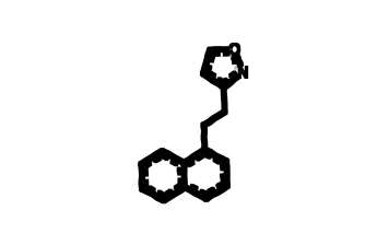 c1ccc2c(CCc3ccon3)cccc2c1